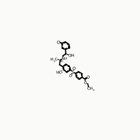 CCOC(=O)c1ccc(S(=O)(=O)c2ccc(C[C@@H](C)NC[C@H](O)c3cccc(Cl)c3)cc2)cc1.Cl